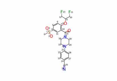 CS(=O)(=O)c1ccc(OC(CF)CF)c(C(=O)N2CCN(c3ccc(C#N)cc3)CC2)c1